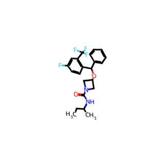 CCC(C)NC(=O)N1CC(OC(c2ccccc2)c2ccc(F)cc2C(F)(F)F)C1